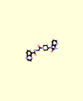 O=C(NCC(=O)N1CCC(n2c(=O)[nH]c3ncccc32)CC1)c1cccc2nccnc12